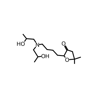 CC(O)CN(CCCCC1OC(C)(C)CC1=O)CC(C)O